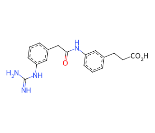 N=C(N)Nc1cccc(CC(=O)Nc2cccc(CCC(=O)O)c2)c1